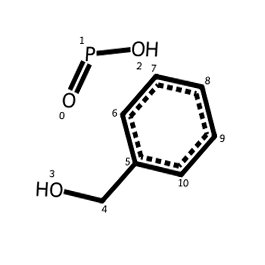 O=PO.OCc1ccccc1